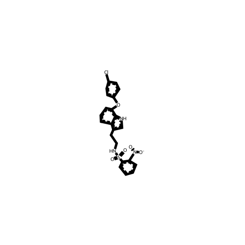 O=[N+]([O-])c1ccccc1S(=O)(=O)NCCc1c[nH]c2c(Oc3ccc(Cl)cc3)cccc12